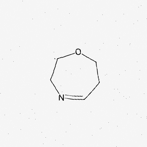 [CH]1CN=CCCO1